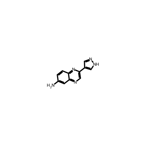 Nc1ccc2nc(-c3cn[nH]c3)cnc2c1